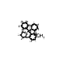 COc1ccccc1C(c1ccccc1)(c1ccccc1)N1CCCC1